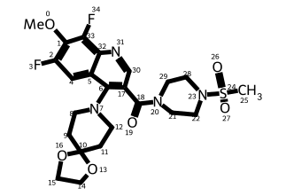 COc1c(F)cc2c(N3CCC4(CC3)OCCO4)c(C(=O)N3CCN(S(C)(=O)=O)CC3)cnc2c1F